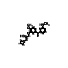 CNc1ccnc(Nc2ccc(OC)c(OC[C@H](O)CN3CCC3)c2)n1